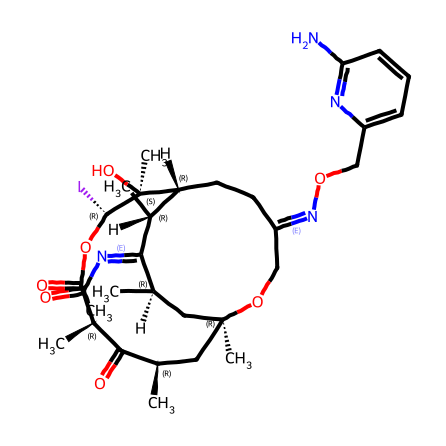 CC(=O)/N=C1\[C@H](C)C[C@]2(C)C[C@@H](C)C(=O)[C@@H](C)C(=O)O[C@H](I)[C@@](C)(O)[C@H](CC/C(=N\OCc3cccc(N)n3)CO2)[C@H]1C